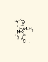 Cc1ccnc([SH](C)C2CCCO2)c1